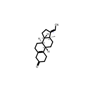 C[C@]12CC[C@@H]3C4=C(CC[C@H]3[C@@H]1CC/C2=C\C#N)CC(=O)CC4